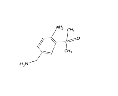 CP(C)(=O)c1cc(CN)ccc1N